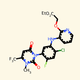 CCOC(=O)COc1ncccc1Nc1cc(-n2c(=O)cc(C(F)(F)F)n(C)c2=O)c(F)cc1Cl